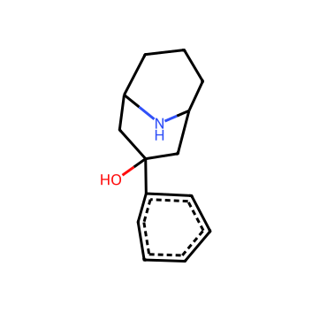 OC1(c2ccccc2)CC2CCCC(C1)N2